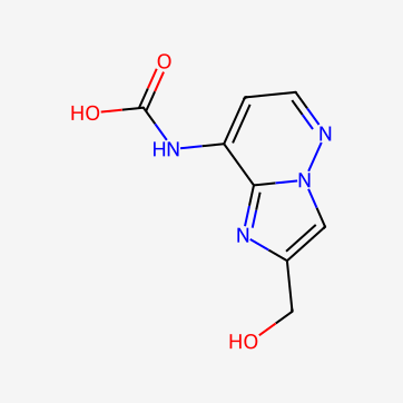 O=C(O)Nc1ccnn2cc(CO)nc12